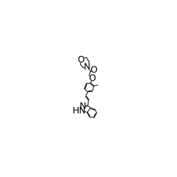 Cc1cc(C=Cc2n[nH]c3ccccc23)ccc1OCC(=O)N1CCOCC1